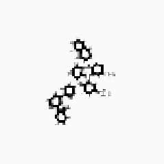 CC(C)(C)c1ccc2c(c1)B1c3cc(C(C)(C)C)ccc3N(c3ccc4ccccc4c3)c3cccc(c31)N2c1ccc(-c2cccc3c2oc2ccccc23)cc1